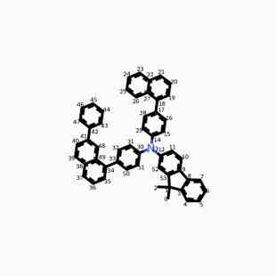 CC1(C)c2ccccc2-c2ccc(N(c3ccc(-c4cccc5ccccc45)cc3)c3ccc(-c4cccc5ccc(-c6ccccc6)cc45)cc3)cc21